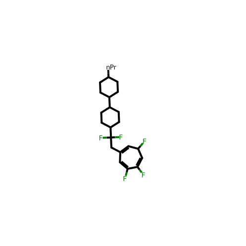 CCCC1CCC(C2CCC(C(F)(F)CC3=CC(F)C=C(F)C(F)=C3)CC2)CC1